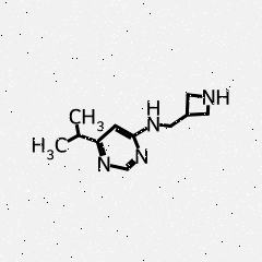 CC(C)c1cc(NCC2CNC2)ncn1